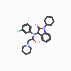 O=C1C(N(c2cccc(F)c2)C(O)CN2CCCCC2)c2ccccc2N1C1CCCCC1